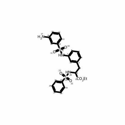 CCOC(=O)C(Cc1cccc(NS(=O)(=O)c2cccc(N)c2)c1)NS(=O)(=O)c1ccccc1